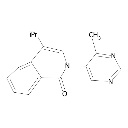 Cc1ncncc1-n1cc(C(C)C)c2ccccc2c1=O